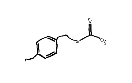 CC(=O)SCc1ccc(I)cc1